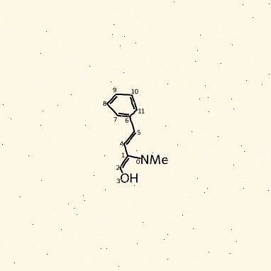 CNC(=C\O)/C=C/c1ccccc1